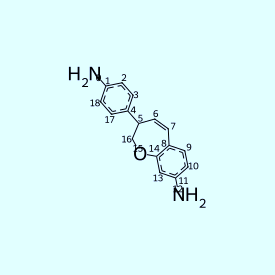 Nc1ccc(C2C=Cc3ccc(N)cc3OC2)cc1